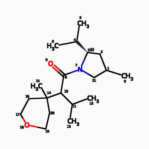 CC1C[C@@H](C(C)C)N(C(=O)C(C(C)C)C2(C)CCOCC2)C1